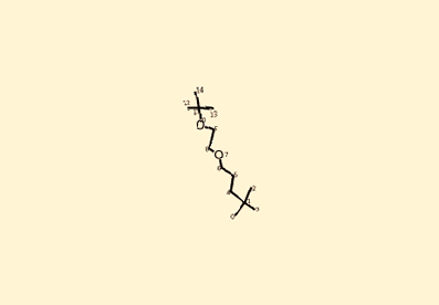 CC(C)(C)CCCOCCOC(C)(C)C